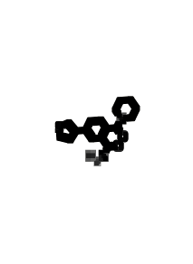 NC(=O)c1cc(-c2ccsc2)ccc1C(=O)N1CCCCC1